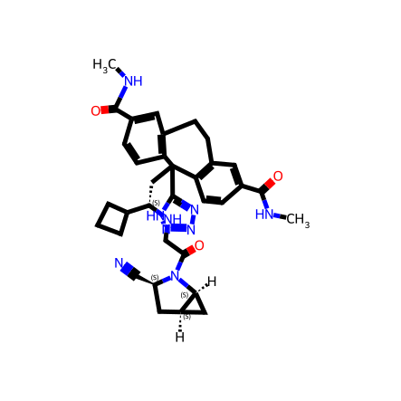 CNC(=O)c1ccc2c(c1)CCc1cc(C(=O)NC)ccc1C2(C[C@H](NCC(=O)N1[C@H](C#N)C[C@@H]2C[C@@H]21)C1CCC1)c1nnn[nH]1